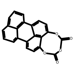 O=C1OC(=O)Oc2ccc3c4cccc5cccc(c6ccc(c2c63)O1)c54